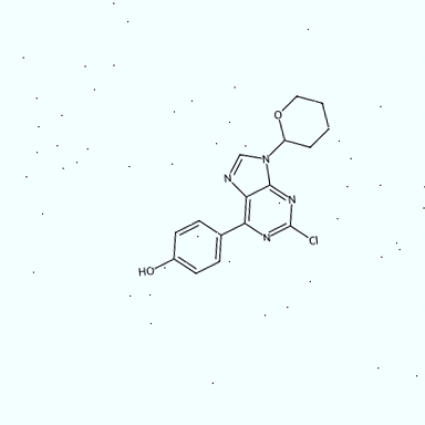 Oc1ccc(-c2nc(Cl)nc3c2ncn3C2CCCCO2)cc1